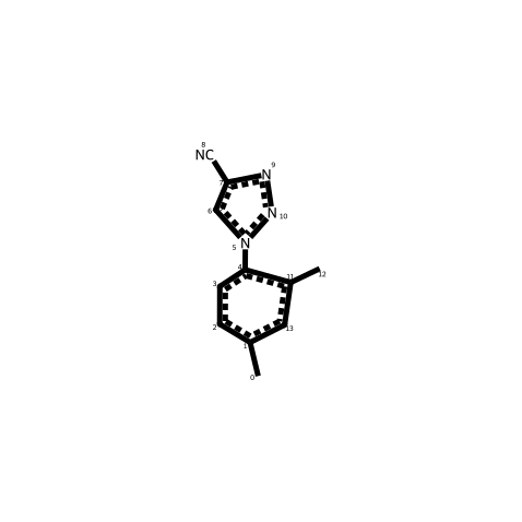 Cc1ccc(-n2cc(C#N)nn2)c(C)c1